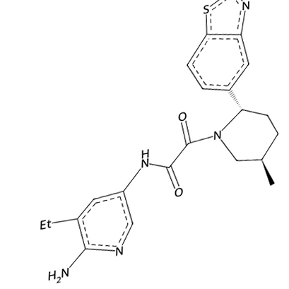 CCc1cc(NC(=O)C(=O)N2C[C@H](C)CC[C@H]2c2ccc3scnc3c2)cnc1N